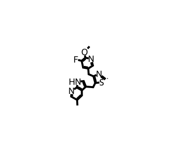 COc1ncc(Cc2n[c]sc2Cc2c[nH]c3ncc(C)cc23)cc1F